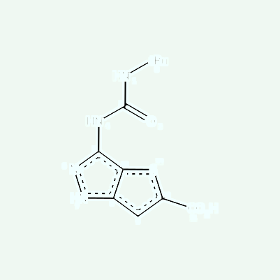 CC(C)(C)NC(=O)Nc1n[nH]c2cc(C(=O)O)sc12